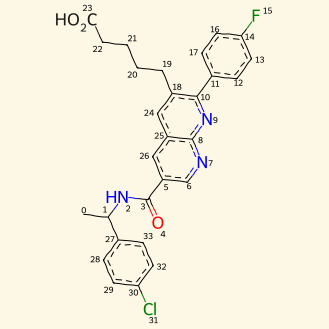 CC(NC(=O)c1cnc2nc(-c3ccc(F)cc3)c(CCCCC(=O)O)cc2c1)c1ccc(Cl)cc1